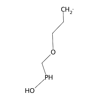 [CH2]CCOCPO